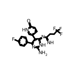 N=C(CCC(F)(F)F)/N=c1\[nH]c(N)nc(-c2ccc(F)cc2)c1-c1ccc(=O)[nH]c1